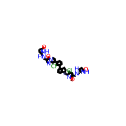 COc1nc(/C=C2\CCc3c2cccc3-c2cccc(-c3ccn4c(=O)c(CNC[C@H]5CCC(=O)N5)cnc4c3)c2Cl)c(Cl)cc1CNC[C@H]1CCC(=O)N1